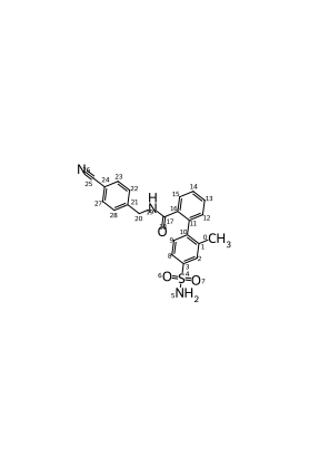 Cc1cc(S(N)(=O)=O)ccc1-c1ccccc1C(=O)NCc1ccc(C#N)cc1